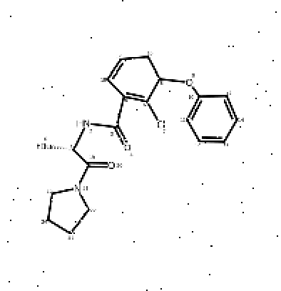 CC(C)(C)[C@H](NC(=O)C1=C(Cl)C(Oc2ccccc2)CC=C1)C(=O)N1CCCC1